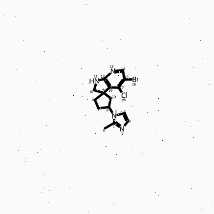 Cc1nccn1C1CCC2(CNc3ncc(Br)c(Cl)c32)C1